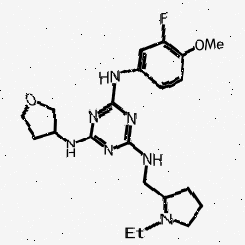 CCN1CCCC1CNc1nc(Nc2ccc(OC)c(F)c2)nc(NC2CCOC2)n1